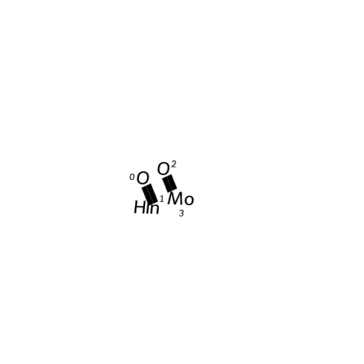 [O]=[InH].[O]=[Mo]